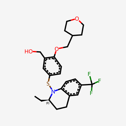 CC[C@@H]1CCc2cc(C(F)(F)F)ccc2N1Sc1ccc(OCC2CCOCC2)c(CO)c1